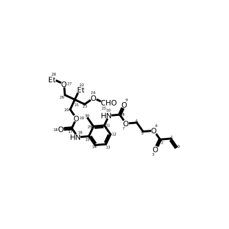 C=CC(=O)OCCOC(=O)Nc1cccc(NC(=O)OCC(CC)(COC=O)COCC)c1C